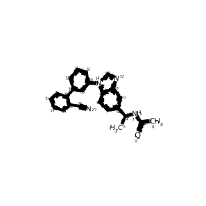 CC(=O)NC(C)c1ccc2c(c1)ncn2-c1cccc(-c2ccccc2C#N)c1